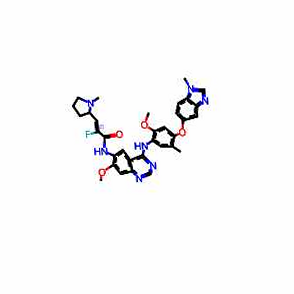 COc1cc2ncnc(Nc3cc(C)c(Oc4ccc5c(c4)ncn5C)cc3OC)c2cc1NC(=O)/C(F)=C/C1CCCN1C